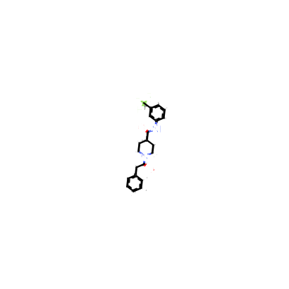 O=C(Nc1cccc(C(F)(F)F)c1)C1CCN(C(=O)Cc2ccccc2)CC1